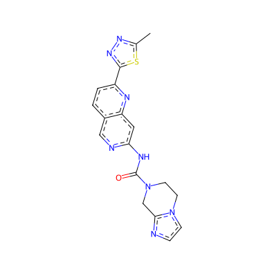 Cc1nnc(-c2ccc3cnc(NC(=O)N4CCn5ccnc5C4)cc3n2)s1